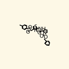 Cc1ccc(S(=O)(=O)Cc2csc(NC(=O)C3CCCN3C(=O)OCc3ccccc3)n2)cc1